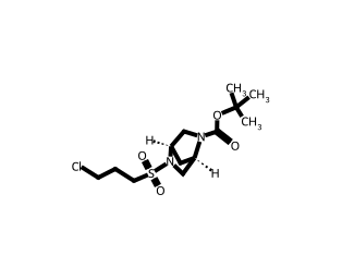 CC(C)(C)OC(=O)N1C[C@H]2C[C@@H]1CN2S(=O)(=O)CCCCl